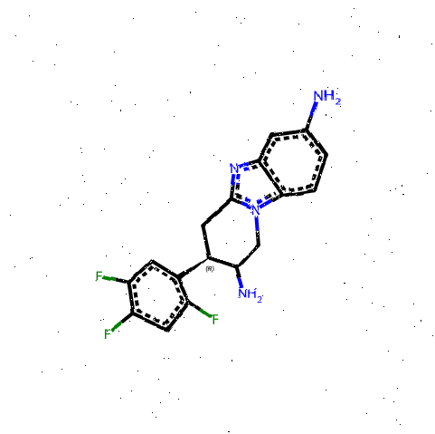 Nc1ccc2c(c1)nc1n2CC(N)[C@@H](c2cc(F)c(F)cc2F)C1